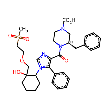 CS(=O)(=O)CCOCC1(O)CCCCC1n1cnc(C(=O)N2CCN(C(=O)O)C[C@H]2Cc2ccccc2)c1-c1ccccc1